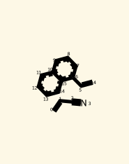 C=CC#N.C=Cc1cccc2ccccc12